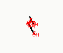 CC(=O)O.CC(=O)O.CC(O)CO.CCCCCCCCCC(=O)O.CCCCCCCCCC(=O)O